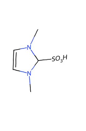 CN1C=CN(C)C1S(=O)(=O)O